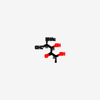 CC(=O)N[C@@H](C=O)[C@@H](O)C(=O)[C@@H](C)O